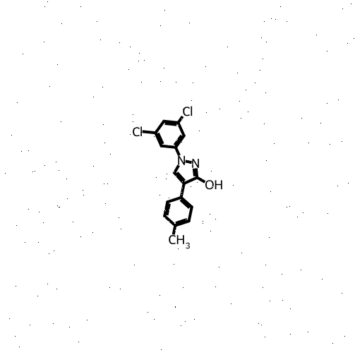 Cc1ccc(-c2cn(-c3cc(Cl)cc(Cl)c3)nc2O)cc1